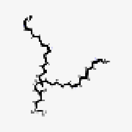 CCC/C=C\CCCC/C=C\CCCCCC1(CCCCC/C=C\CCCC/C=C\CCC)OCC(CCN(CC)CC)O1